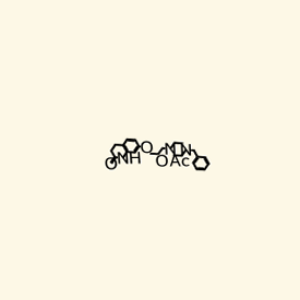 CC(=O)OC(COc1ccc2c(c1)NC(=O)CC2)CN1CCN(Cc2ccccc2)CC1